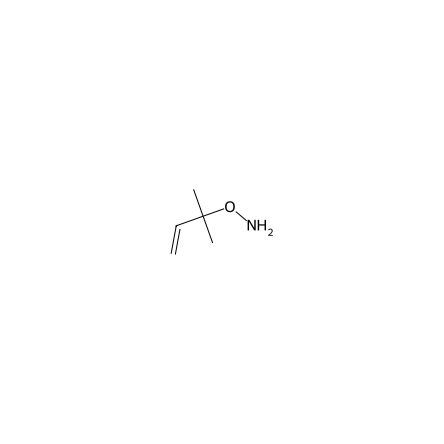 C=CC(C)(C)ON